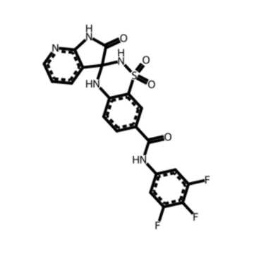 O=C(Nc1cc(F)c(F)c(F)c1)c1ccc2c(c1)S(=O)(=O)NC1(N2)C(=O)Nc2ncccc21